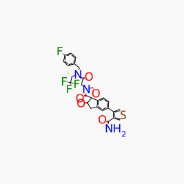 C[C@H](N(Cc1ccc(F)cc1)C(=O)CN1CO[C@]2(C(=O)Cc3cc(-c4cscc4C(N)=O)ccc32)C1=O)C(F)(F)F